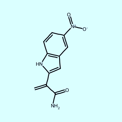 C=C(C(N)=O)c1cc2cc([N+](=O)[O-])ccc2[nH]1